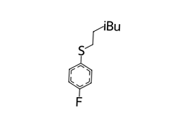 [CH2]C(CC)CCSc1ccc(F)cc1